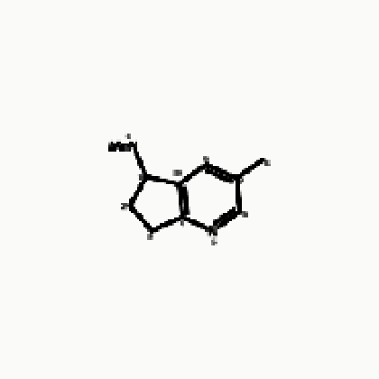 CNC1CCc2ncc(C)cc21